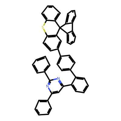 c1ccc(-c2cc(-c3ccccc3-c3ccc(-c4ccc5c(c4)C4(c6ccccc6S5)c5ccccc5-c5ccccc54)cc3)nc(-c3ccccc3)n2)cc1